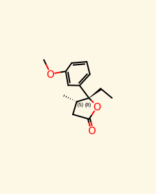 CC[C@@]1(c2cccc(OC)c2)OC(=O)C[C@@H]1C